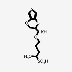 CC(CCCOCC1COc2cscc2O1)S(=O)(=O)O.[KH]